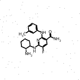 Cc1cccc(Nc2nc(NC3CCCC[C@@H]3N)c(F)cc2C(N)=O)c1